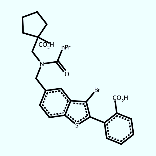 CCCC(=O)N(Cc1ccc2sc(-c3ccccc3C(=O)O)c(Br)c2c1)CC1(C(=O)O)CCCC1